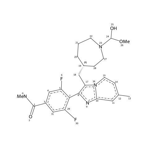 CNC(=O)c1cc(F)c(-c2nc3cc(C)ccn3c2C[C@@H]2CCCN(C(O)OC)CC2)c(F)c1